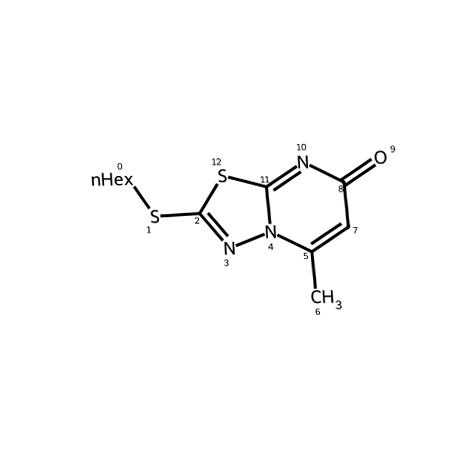 CCCCCCSc1nn2c(C)cc(=O)nc2s1